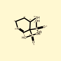 O=P(O)(O)C1(P(=O)(O)O)C=NCCC1S